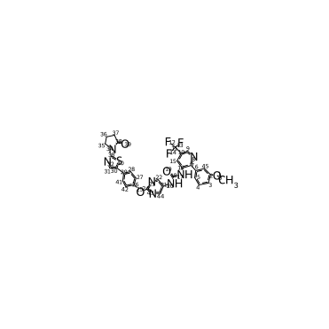 COc1cccc(-c2ncc(C(F)(F)F)cc2NC(=O)Nc2cnc(Oc3ccc(-c4cnc(N5CCCC5=O)s4)cc3)nc2)c1